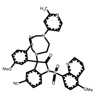 CCOc1ccc(OC)cc1C1(N2CCCN(c3ccnc(C)c3)CC2)C(=O)N(S(=O)(=O)c2ccc(OC)c3cccnc23)c2ccc(C#N)cc21